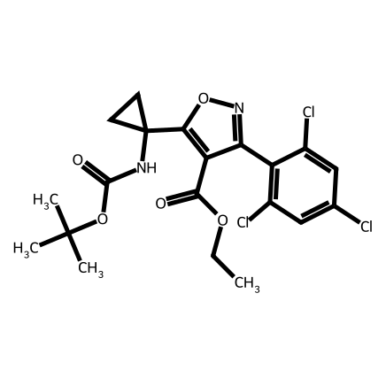 CCOC(=O)c1c(-c2c(Cl)cc(Cl)cc2Cl)noc1C1(NC(=O)OC(C)(C)C)CC1